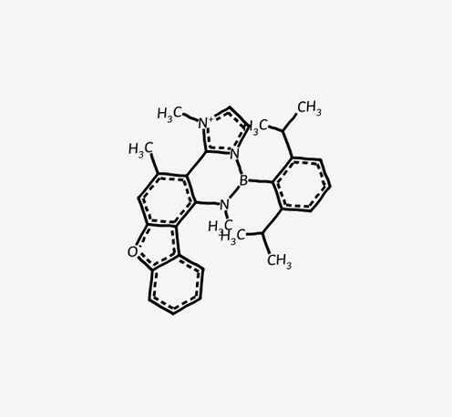 Cc1cc2oc3ccccc3c2c2c1-c1n(cc[n+]1C)B(c1c(C(C)C)cccc1C(C)C)N2C